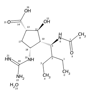 CCC(CC)[C@H](NC(C)=O)[C@H]1[C@H](O)[C@@H](C(=O)O)C[C@H]1NC(=N)N.O